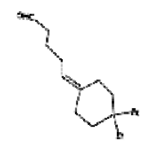 CCC1(CC)CCC(=CCCCC=O)CC1